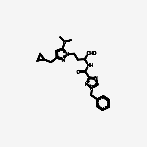 CN(C)c1cc(CC2CC2)nn1CCC(C=O)NC(=O)c1ncn(Cc2ccccc2)n1